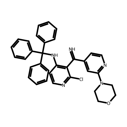 N=C(c1ccnc(N2CCOCC2)c1)c1c(NC(c2ccccc2)(c2ccccc2)c2ccccc2)ccnc1Cl